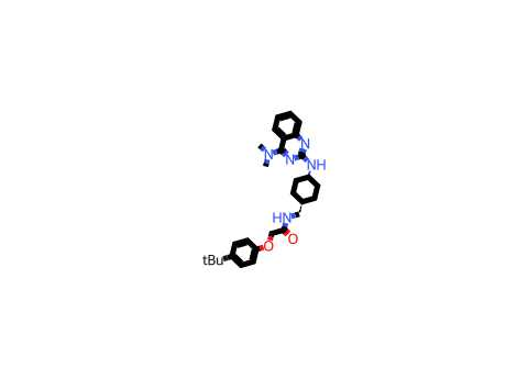 CN(C)c1nc(N[C@H]2CC[C@@H](CNC(=O)COc3ccc(C(C)(C)C)cc3)CC2)nc2ccccc12